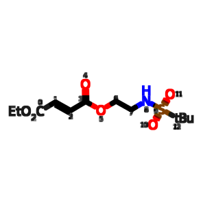 CCOC(=O)/C=C/C(=O)OCCNS(=O)(=O)C(C)(C)C